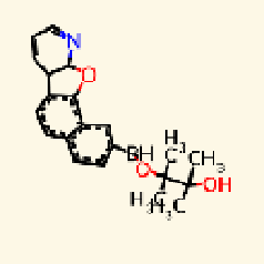 CC(C)(O)C(C)(C)OBc1ccc2ccc3c(c2c1)OC1N=CC=CC31